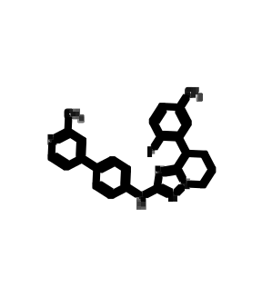 Cc1cc(-c2ccc(Nc3nc4n(n3)CCCC4c3cc(C(F)(F)F)ccc3F)cc2)ccn1